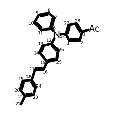 CC(=O)c1ccc(N(c2ccccc2)c2ccc(C=Cc3ccc(C)cc3)cc2)cc1